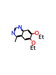 CCOc1cc2ncnc(C)c2cc1OCC